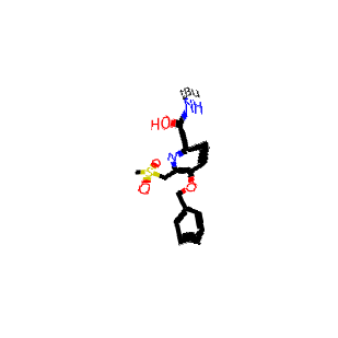 CC(C)(C)NC(O)c1ccc(OCc2ccccc2)c(CS(C)(=O)=O)n1